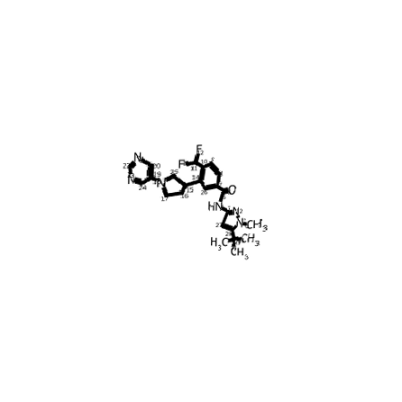 Cn1nc(NC(=O)c2ccc(C(F)F)c(C3CCN(c4cncnc4)C3)c2)cc1C(C)(C)C